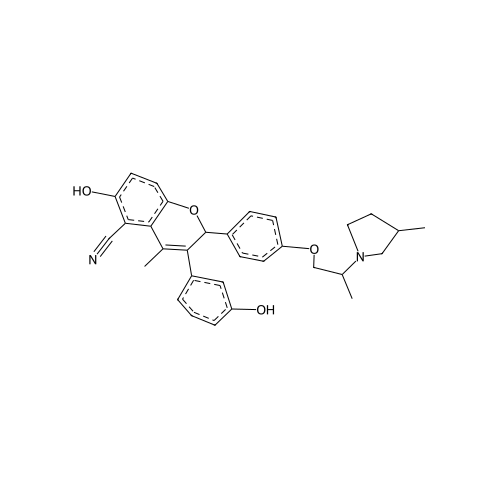 CC1=C(c2cccc(O)c2)C(c2ccc(OCC(C)N3CCC(C)C3)cc2)Oc2ccc(O)c(C#N)c21